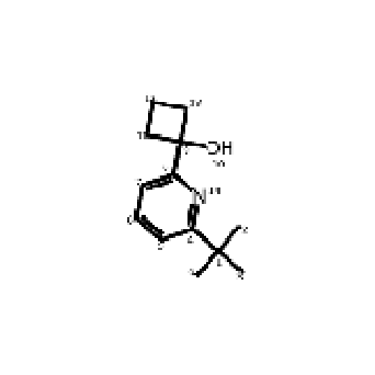 CC(C)(C)c1cccc(C2(O)CCC2)n1